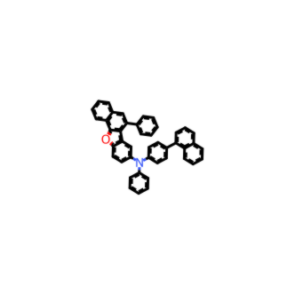 c1ccc(-c2cc3ccccc3c3oc4ccc(N(c5ccccc5)c5ccc(-c6cccc7ccccc67)cc5)cc4c23)cc1